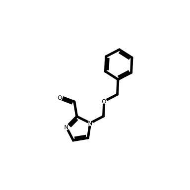 O=Cc1nccn1COCc1ccccc1